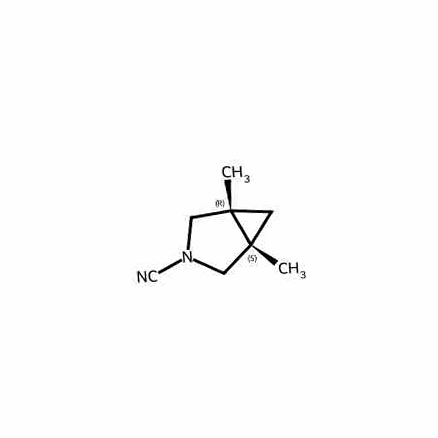 C[C@@]12CN(C#N)C[C@]1(C)C2